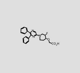 O=C(O)CO[C@H]1CCN(c2cnc(-c3ccccc3)c(-c3ccccc3)n2)C[C@H]1F